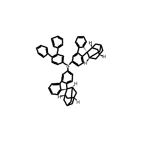 c1ccc(-c2ccc(N(c3ccc4c(c3)-c3ccccc3[C@]43[C@@H]4CC5C[C@H](C4)C[C@H]3C5)c3ccc4c(c3)-c3ccccc3[C@]43[C@@H]4CC5C[C@@H](C4)C[C@@H]3C5)cc2-c2ccccc2)cc1